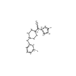 Cc1cccc(CN2CCN(C(=O)n3cccn3)CC2)c1